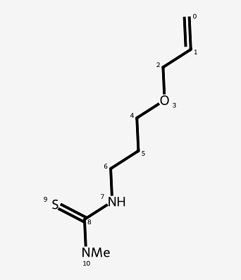 C=CCOCCCNC(=S)NC